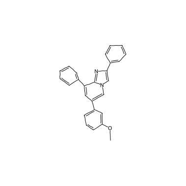 COc1cccc(-c2cc(-c3ccccc3)c3nc(-c4ccccc4)cn3c2)c1